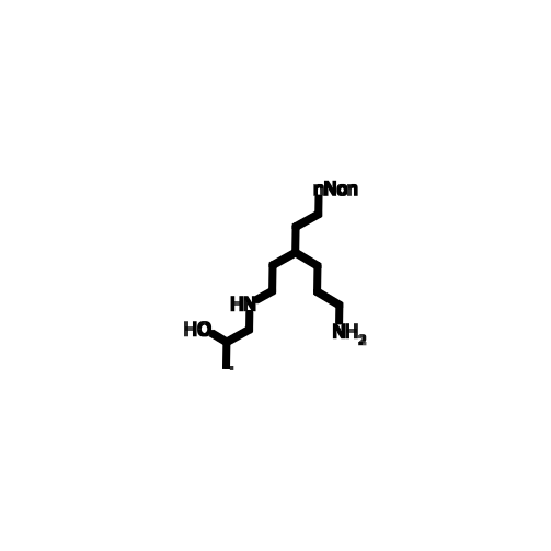 [CH2]C(O)CNCCC(CCCN)CCCCCCCCCCC